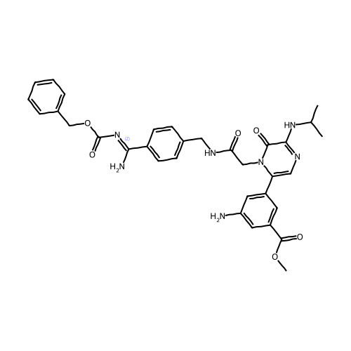 COC(=O)c1cc(N)cc(-c2cnc(NC(C)C)c(=O)n2CC(=O)NCc2ccc(/C(N)=N/C(=O)OCc3ccccc3)cc2)c1